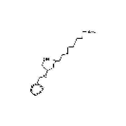 CCCCCCCCCCCCCCCCCCOCC(CO)OCc1ccccc1